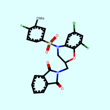 COc1cc(S(=O)(=O)N2CC(CN3C(=O)c4ccccc4C3=O)Oc3c(F)cc(Br)cc32)ccc1F